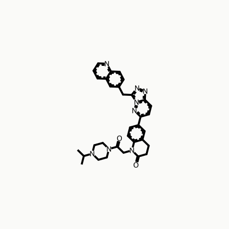 CC(C)N1CCN(C(=O)CN2C(=O)CCc3cc(-c4ccc5nnc(Cc6ccc7ncccc7c6)n5n4)ccc32)CC1